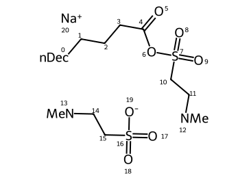 CCCCCCCCCCCCCC(=O)OS(=O)(=O)CCNC.CNCCS(=O)(=O)[O-].[Na+]